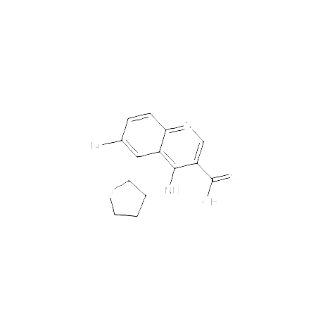 O=C(O)c1cnc2ccc(Br)cc2c1N[C@@H]1CCOC1